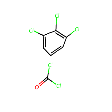 Clc1cccc(Cl)c1Cl.O=C(Cl)Cl